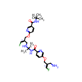 CC(C)(C)NC(=O)c1ccc(OC/C(=C/F)CNC(C)(C)NC(=O)c2ccc(OC/C(=C/F)CN)cn2)nc1